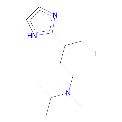 CC(C)N(C)CCC(CI)c1ncc[nH]1